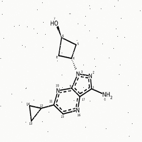 Nc1nn([C@H]2C[C@H](O)C2)c2nc(C3CC3)cnc12